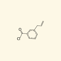 C=CCc1cccc(C(=O)Cl)c1